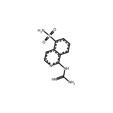 N=C(N)Nc1nccc2c(S(N)(=O)=O)cccc12